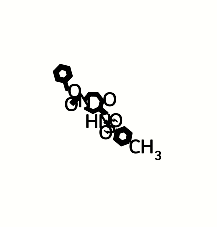 Cc1ccc(S(=O)(=O)N/C=C2\CCN(C(=O)OCc3ccccc3)CCC2=O)cc1